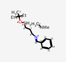 CCC(C)(CC)O[SiH2]CCCN=Cc1ccccc1.CNC